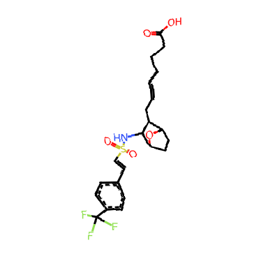 O=C(O)CCCC=CCC1C2CCC(O2)C1NS(=O)(=O)C=Cc1ccc(C(F)(F)F)cc1